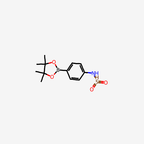 CC1(C)OB(c2ccc(N[SH](=O)=O)cc2)OC1(C)C